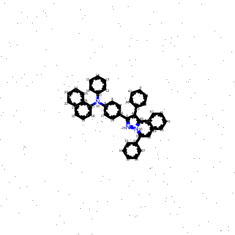 c1ccc(-c2c(-c3ccc(N(c4ccccc4)c4cccc5ccccc45)cc3)nn3c(-c4ccccc4)cc4ccccc4c23)cc1